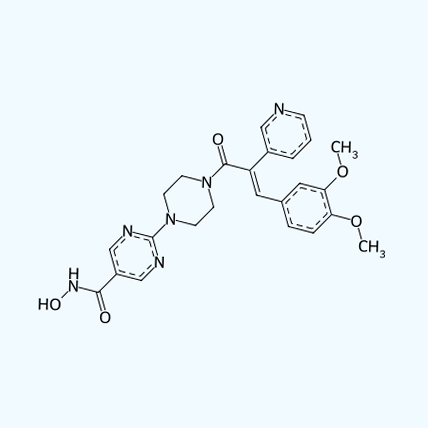 COc1ccc(/C=C(/C(=O)N2CCN(c3ncc(C(=O)NO)cn3)CC2)c2cccnc2)cc1OC